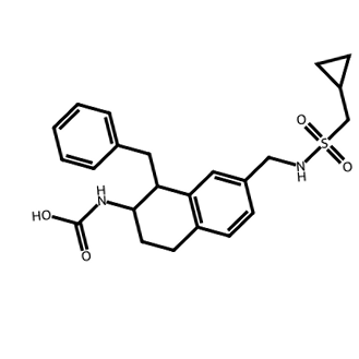 O=C(O)NC1CCc2ccc(CNS(=O)(=O)CC3CC3)cc2C1Cc1ccccc1